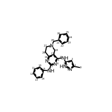 Cc1cc(Nc2nc(Nc3ccccc3)nc3c2CN(Cc2ccccc2)CC3)[nH]n1